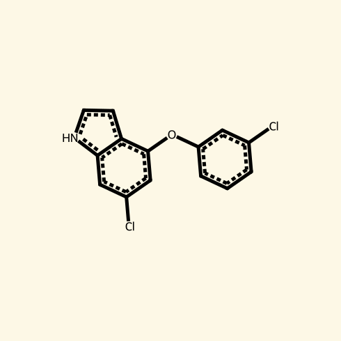 Clc1cccc(Oc2cc(Cl)cc3[nH]ccc23)c1